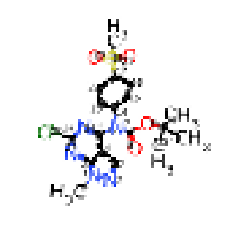 Cn1ncc2c(N(C(=O)OC(C)(C)C)c3ccc(S(C)(=O)=O)cc3)nc(Cl)nc21